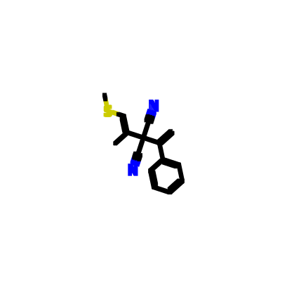 C=C(c1ccccc1)C(C#N)(C#N)C(C)=CSC